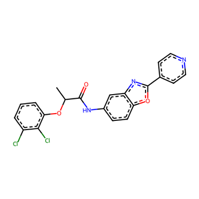 CC(Oc1cccc(Cl)c1Cl)C(=O)Nc1ccc2oc(-c3ccncc3)nc2c1